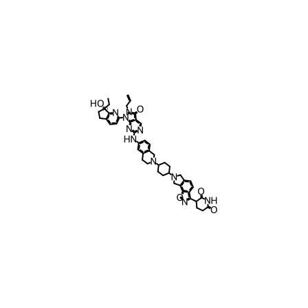 C=CCn1c(=O)c2cnc(Nc3ccc4c(c3)CCN(C3CCC(N5Cc6ccc7c(C8CCC(=O)NC8=O)noc7c6C5)CC3)C4)nc2n1-c1ccc2c(n1)[C@@](O)(CC)CC2